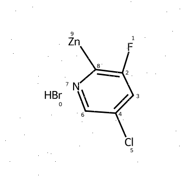 Br.Fc1cc(Cl)cn[c]1[Zn]